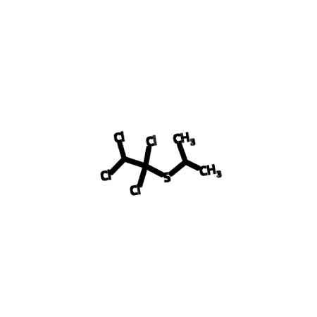 CC(C)SC(Cl)(Cl)C(Cl)Cl